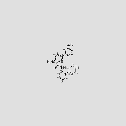 Cc1cccc(-c2cnc(N)c(C(=O)Nc3ccccc3N3CCNCC3)n2)c1